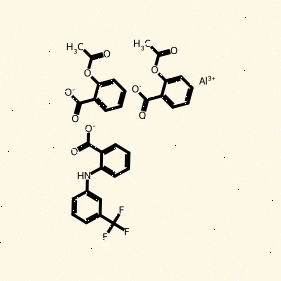 CC(=O)Oc1ccccc1C(=O)[O-].CC(=O)Oc1ccccc1C(=O)[O-].O=C([O-])c1ccccc1Nc1cccc(C(F)(F)F)c1.[Al+3]